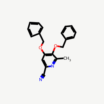 Cc1nc(C#N)cc(OCc2ccccc2)c1OCc1ccccc1